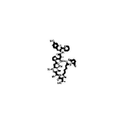 CC[C@H](C)[C@@H]([C@@H](CC(=O)N1CCC[C@H]1[C@H](OC)[C@@H](C)C(=O)N[C@@H](Cc1ccc(O)cc1)C(=O)N1CCCCO1)OC)N(C)C(=O)[C@@H](NC(=O)C([C@@H](C)O)N(C)CCCCCC(=O)ON1C(=O)CCC1=O)C(C)C